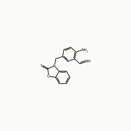 N=Cc1cc(Cn2c(=S)oc3ccccc32)ccc1N